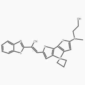 CN(CCO)c1cc2c(s1)-c1sc(/C=C(\C#N)c3nc4ccccc4s3)cc1[Si]21CCC1